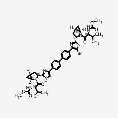 COC(=O)N[C@H](C(=O)N1[C@@H]2C[C@@H]2C[C@H]1c1nc(-c2ccc(-c3ccc(-c4nc([C@@H]5C[C@H]6C[C@H]6N5C(=O)[C@@H](NC(=O)OC)C(C)C)[nH]c4Br)cc3)cc2)c[nH]1)C(C)C